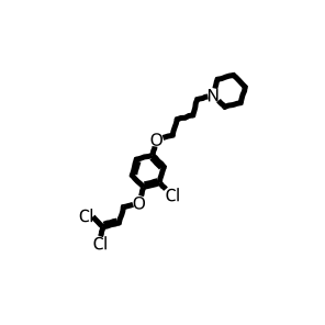 ClC(Cl)=CCOc1ccc(OCCCCN2CCCCC2)cc1Cl